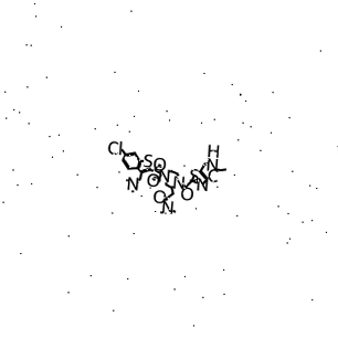 CC1Cc2nc(C(=O)N3CCN(S(=O)(=O)c4sc5cc(Cl)ccc5c4CN(C)C)CC3CC(=O)N(C)C)sc2CN1